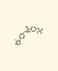 Cc1nccn1-c1ccc(CNC(=O)c2ccc(SC(F)(F)F)cc2)cc1